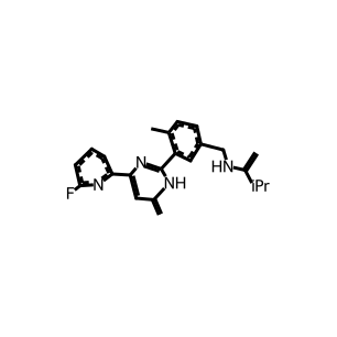 C=C1C=C(c2cccc(F)n2)N=C(c2cc(CNC(=C)C(C)C)ccc2C)N1